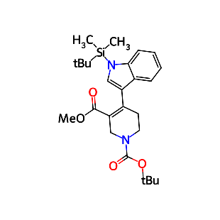 COC(=O)C1=C(c2cn([Si](C)(C)C(C)(C)C)c3ccccc23)CCN(C(=O)OC(C)(C)C)C1